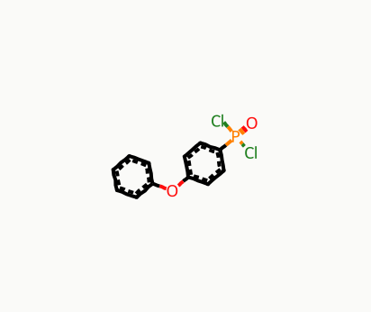 O=P(Cl)(Cl)c1ccc(Oc2ccccc2)cc1